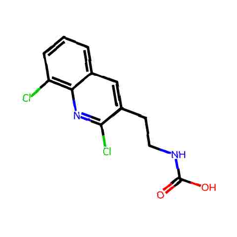 O=C(O)NCCc1cc2cccc(Cl)c2nc1Cl